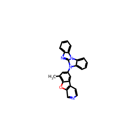 Cc1cc(-n2c3ccccc3n3c4ccccc4nc23)cc2c1oc1cnccc12